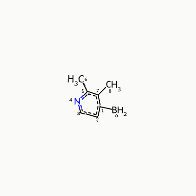 Bc1ccnc(C)c1C